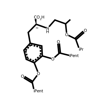 CCCC(C)C(=O)Oc1ccc(C[C@H](NCC(C)OC(=O)C(C)C)C(=O)O)cc1OC(=O)C(C)CCC